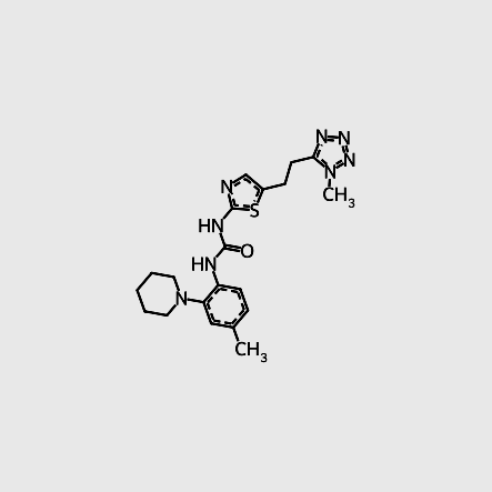 Cc1ccc(NC(=O)Nc2ncc(CCc3nnnn3C)s2)c(N2CCCCC2)c1